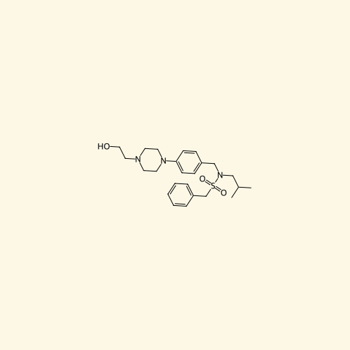 CC(C)CN(Cc1ccc(N2CCN(CCO)CC2)cc1)S(=O)(=O)Cc1ccccc1